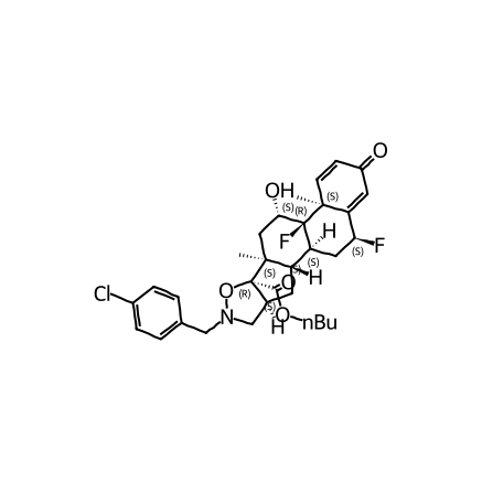 CCCCOC(=O)[C@@]12ON(Cc3ccc(Cl)cc3)C[C@@H]1C[C@H]1[C@@H]3C[C@H](F)C4=CC(=O)C=C[C@]4(C)[C@@]3(F)[C@@H](O)C[C@@]12C